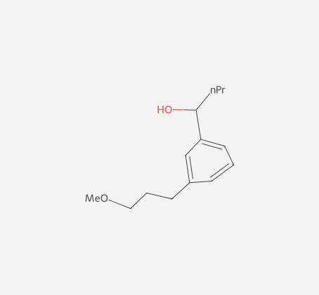 CCCC(O)c1cccc(CCCOC)c1